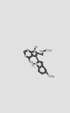 COc1ccc2c(c1)cc(-c1c(CNC=O)n(C(C)C)c3ncnc(N)c13)n2C